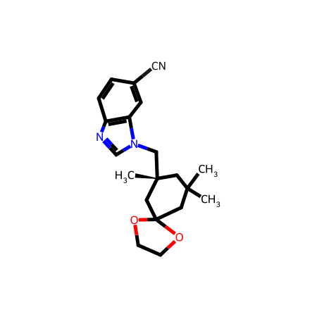 CC1(C)CC2(C[C@](C)(Cn3cnc4ccc(C#N)cc43)C1)OCCO2